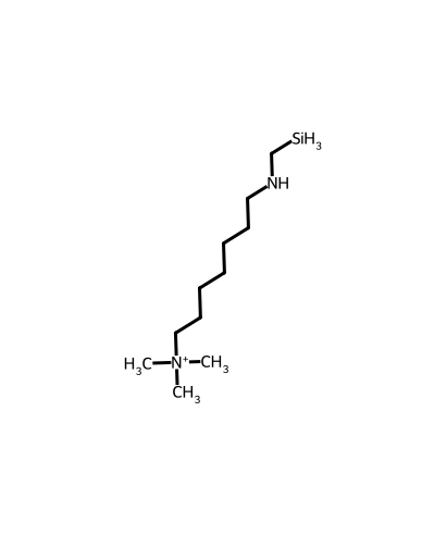 C[N+](C)(C)CCCCCCCNC[SiH3]